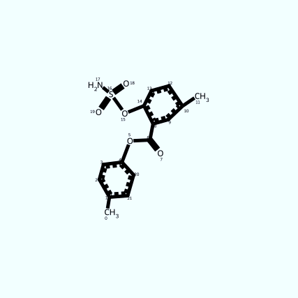 Cc1ccc(OC(=O)c2cc(C)ccc2OS(N)(=O)=O)cc1